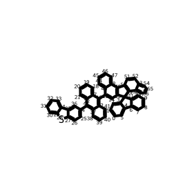 c1ccc2c(c1)-c1ccccc1C21c2cc(-c3c4ccccc4c(-c4ccc5sc6ccccc6c5c4)c4ccccc34)c3ccccc3c2-c2ccc3ccccc3c21